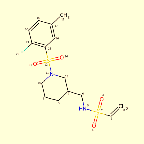 C=CS(=O)(=O)NCC1CCCN(S(=O)(=O)c2cc(C)ccc2F)C1